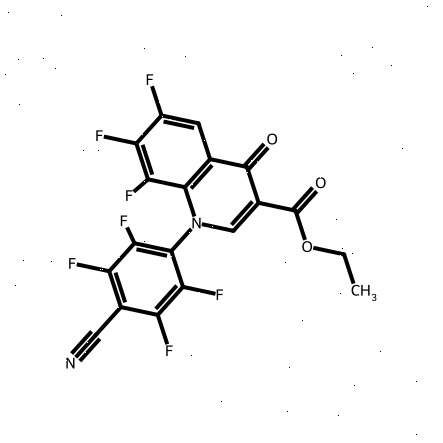 CCOC(=O)c1cn(-c2c(F)c(F)c(C#N)c(F)c2F)c2c(F)c(F)c(F)cc2c1=O